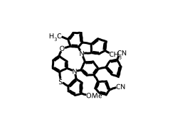 COc1ccc2sc3ccc4cc3n(c2c1)c1cc(-c2cccc(C#N)c2)c(-c2cccc(C#N)c2)cc1n1c2cc(C)ccc2c2ccc(C)c(o4)c21